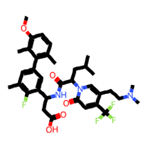 COc1ccc(C)c(-c2cc(C)c(F)c(C(CC(=O)O)NC(=O)C(CC(C)C)n3cc(CCN(C)C)c(C(F)(F)F)cc3=O)c2)c1C